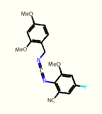 COc1ccc(CN=C=Nc2c(C#N)cc(F)cc2OC)c(OC)c1